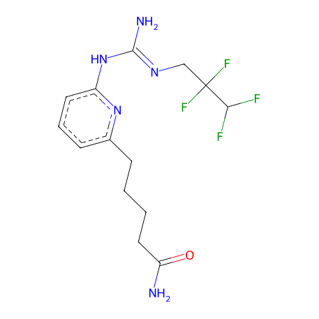 NC(=O)CCCCc1cccc(NC(N)=NCC(F)(F)C(F)F)n1